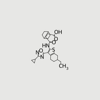 CCC1CCc2c(sc(NC(=O)C3=C(C(=O)O)C4CCC3CC4)c2-c2nc(C3CC3)no2)C1